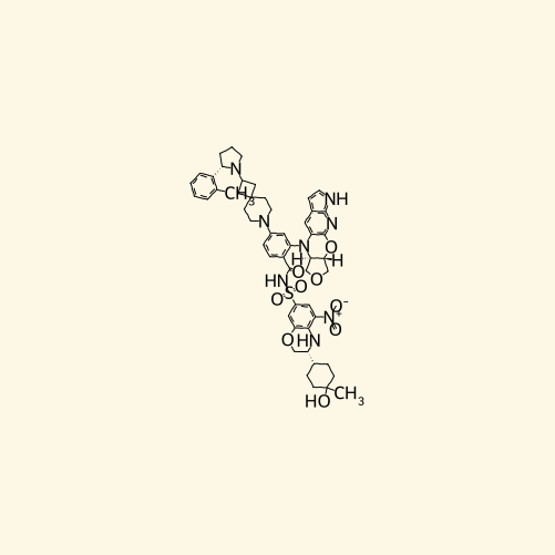 Cc1ccccc1[C@@H]1CCCN1C1CC2(CCN(c3ccc(C(=O)NS(=O)(=O)c4cc5c(c([N+](=O)[O-])c4)N[C@H](C4CCC(C)(O)CC4)CO5)c(N4c5cc6cc[nH]c6nc5O[C@@H]5COC[C@H]54)c3)CC2)C1